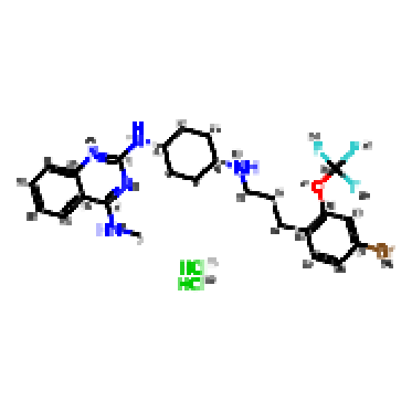 CNc1nc(N[C@H]2CC[C@@H](NCCCc3ccc(Br)cc3OC(F)(F)F)CC2)nc2ccccc12.Cl.Cl